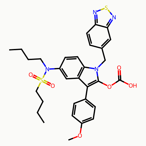 CCCCN(c1ccc2c(c1)c(-c1ccc(OC)cc1)c(OC(=O)O)n2Cc1ccc2nsnc2c1)S(=O)(=O)CCCC